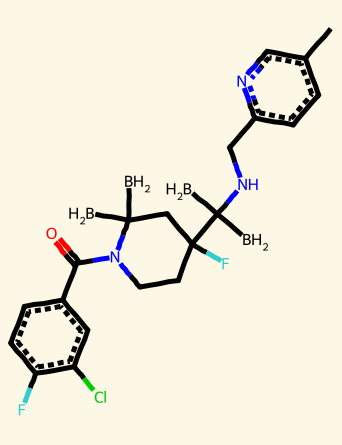 BC1(B)CC(F)(C(B)(B)NCc2ccc(C)cn2)CCN1C(=O)c1ccc(F)c(Cl)c1